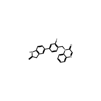 C=C1Cc2cc(-c3ccc(Cn4c(=O)cnc5ccccc54)c(F)c3)ccc2N1